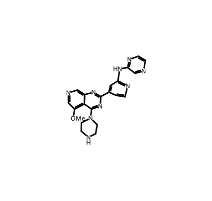 COc1cncc2nc(-c3ccnc(Nc4cnccn4)c3)nc(N3CCNCC3)c12